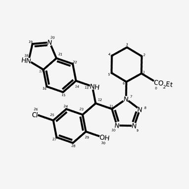 CCOC(=O)C1CCCCC1n1nnnc1C(Nc1ccc2[nH]cnc2c1)c1cc(Cl)ccc1O